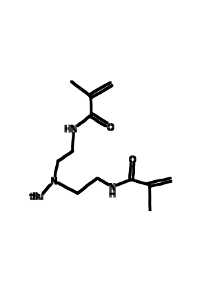 C=C(C)C(=O)NCCN(CCNC(=O)C(=C)C)C(C)(C)C